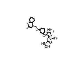 Cc1cc(COc2ccc(C3(N)CC[N@+](CC(=O)NO)(CC(C)C)C3=O)cc2)c2ccccc2n1